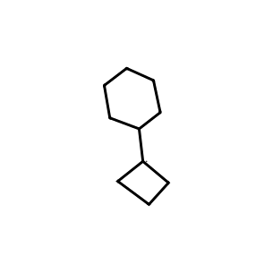 C1CCC([C]2CCC2)CC1